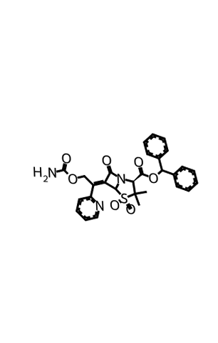 CC1(C)[C@H](C(=O)OC(c2ccccc2)c2ccccc2)N2C(=O)/C(=C(\COC(N)=O)c3ccccn3)C2S1(=O)=O